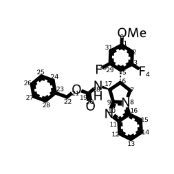 COc1cc(F)c([C@@H]2Cn3c(nc4ccccc43)[C@H]2NC(=O)OCc2ccccc2)c(F)c1